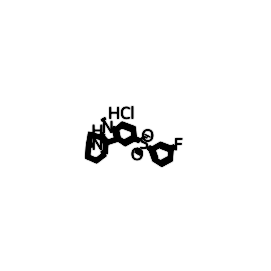 Cl.Cn1c2c(c3cc(S(=O)(=O)c4cccc(F)c4)ccc31)C1CCC(C2)N1